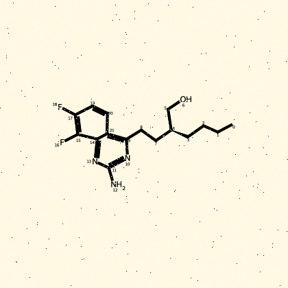 CCCC[C@H](CO)CCc1nc(N)nc2c(F)c(F)ccc12